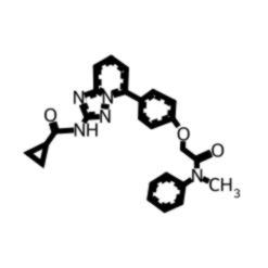 CN(C(=O)COc1ccc(-c2cccc3nc(NC(=O)C4CC4)nn23)cc1)c1ccccc1